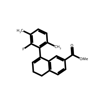 COC(=O)c1ccc2c(c1)C(c1c(C)ccc(C)c1F)=CCC2